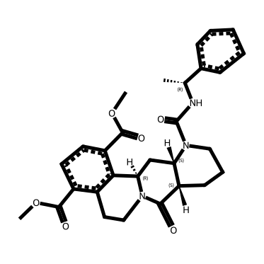 COC(=O)c1ccc(C(=O)OC)c2c1CCN1C(=O)[C@H]3CCCN(C(=O)N[C@H](C)c4ccccc4)[C@H]3C[C@H]21